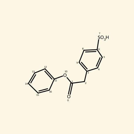 O=C(Cc1ccc(S(=O)(=O)O)cc1)Oc1ccccc1